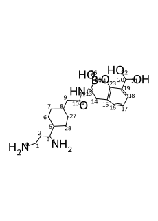 NCCC(N)C1CCC(CC(=O)N[C@H]2Cc3cccc(C(O)O)c3OB2O)CC1